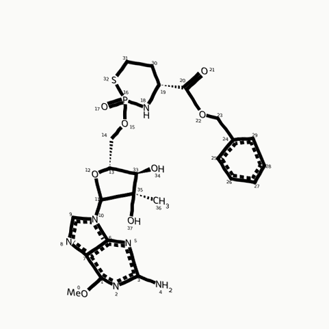 COc1nc(N)nc2c1ncn2C1O[C@H](COP2(=O)N[C@@H](C(=O)OCc3ccccc3)CCS2)[C@@H](O)[C@@]1(C)O